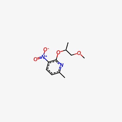 COCC(C)Oc1nc(C)ccc1[N+](=O)[O-]